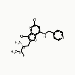 C[C@H](F)[C@H](N)Cc1oc2c(NCc3ccncc3)cc(Cl)nc2c1Cl